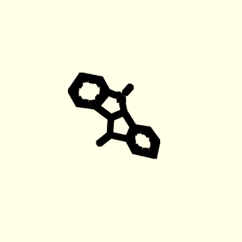 CC1c2ccccc2C2C1c1ccccc1N2C